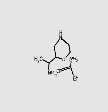 CC(N)C1CNCCO1.CCC(N)=O